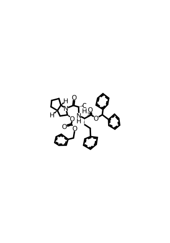 C[C@H](N[C@@H](CCc1ccccc1)C(=O)OC(c1ccccc1)c1ccccc1)C(=O)N1[C@@H](OC(=O)OCc2ccccc2)C[C@@H]2CCC[C@@H]21